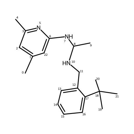 Cc1cc(C)nc(NC(C)NCc2ccccc2C(C)(C)C)c1